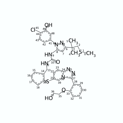 CSCC(C)(C)c1cc(NC(=O)NCc2ccccc2Sc2ccc3nnc(-c4ccccc4OCCO)n3c2)n(-c2ccc(Cl)c(O)c2)n1